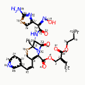 CC/C=C(\COC(=O)C1=C(/C=C\c2cccnc2)CS[C@@H]2[C@H](NC(=O)/C(=N\O)c3csc(N)n3)C(=O)N12)C(=O)OCCC(C)C